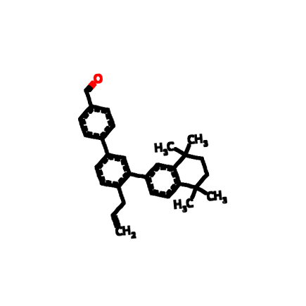 C=CCc1ccc(-c2ccc(C=O)cc2)cc1-c1ccc2c(c1)C(C)(C)CCC2(C)C